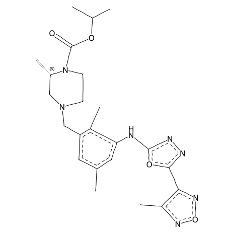 Cc1cc(CN2CCN(C(=O)OC(C)C)[C@@H](C)C2)c(C)c(Nc2nnc(-c3nonc3C)o2)c1